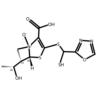 C[C@@H](O)[C@@H]1C[N+]2([O-])C(C(=O)O)=C(SC(S)c3nnco3)S[C@H]12